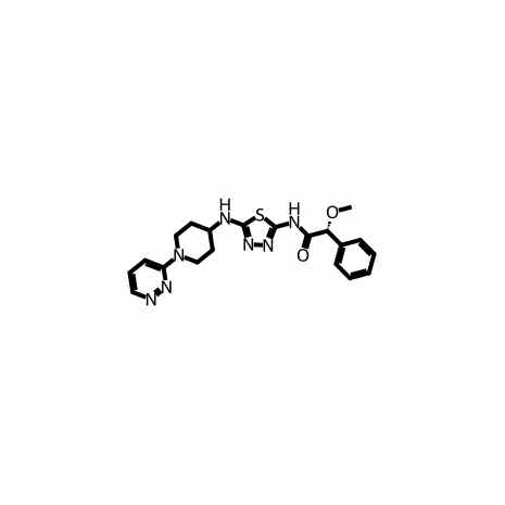 CO[C@@H](C(=O)Nc1nnc(NC2CCN(c3cccnn3)CC2)s1)c1ccccc1